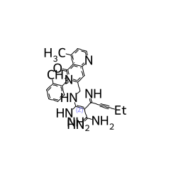 CCC#CC(=N)/C(C(=N)N)=C(/NN)NCc1cc2nccc(C)c2c(=O)n1-c1ccccc1C